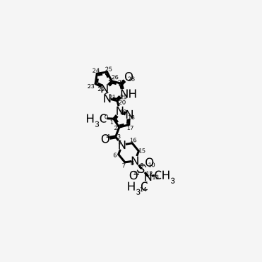 Cc1c(C(=O)N2CCN(S(=O)(=O)N(C)C)CC2)cnn1-c1nn2cccc2c(=O)[nH]1